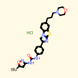 CC(C)(C)c1cc(NC(=O)Nc2ccc(-c3cn4c(n3)sc3cc(CCCN5CCOCC5)ccc34)cc2)no1.Cl